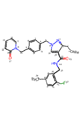 COCc1nn(Cc2ccc(Cn3ccccc3=O)cc2)cc1C(=O)NCc1cc(OC)ccc1F